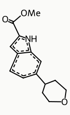 COC(=O)c1cc2ccc(C3CCOCC3)cc2[nH]1